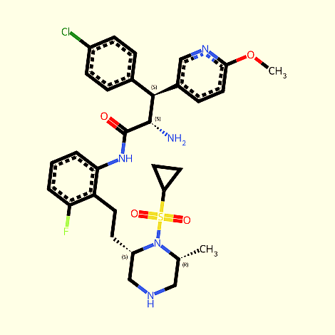 COc1ccc([C@H](c2ccc(Cl)cc2)[C@H](N)C(=O)Nc2cccc(F)c2CC[C@H]2CNC[C@@H](C)N2S(=O)(=O)C2CC2)cn1